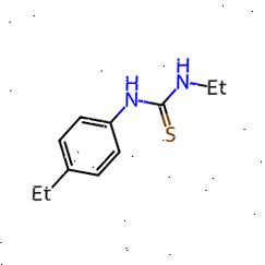 CCNC(=S)Nc1ccc(CC)cc1